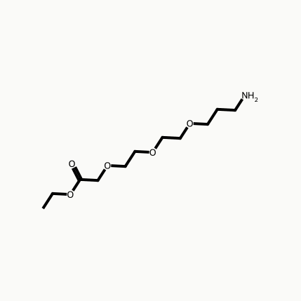 CCOC(=O)COCCOCCOCCCN